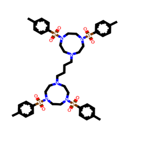 Cc1ccc(S(=O)(=O)N2CCN(CCCCN3CCN(S(=O)(=O)c4ccc(C)cc4)CCN(S(=O)(=O)c4ccc(C)cc4)CC3)CCN(S(=O)(=O)c3ccc(C)cc3)CC2)cc1